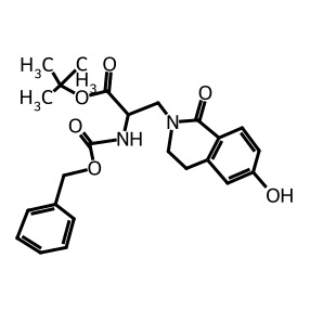 CC(C)(C)OC(=O)C(CN1CCc2cc(O)ccc2C1=O)NC(=O)OCc1ccccc1